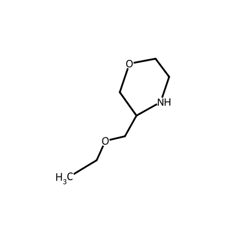 CCOCC1COCCN1